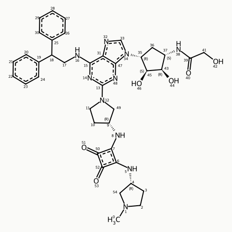 CN1CC[C@@H](Nc2c(N[C@@H]3CCN(c4nc(NCC(c5ccccc5)c5ccccc5)c5ncn([C@@H]6C[C@H](NC(=O)CO)[C@@H](O)[C@H]6O)c5n4)C3)c(=O)c2=O)C1